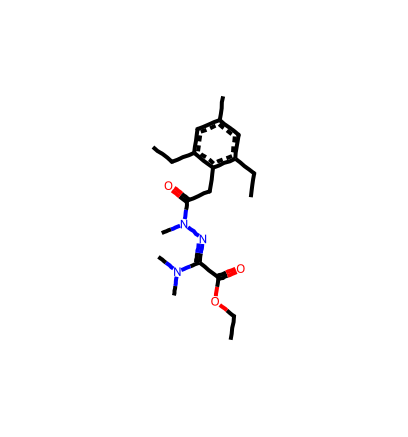 CCOC(=O)/C(=N/N(C)C(=O)Cc1c(CC)cc(C)cc1CC)N(C)C